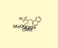 [CH2]C(CC[Si](OC)(OC)OC)Cc1cccc2ccccc12